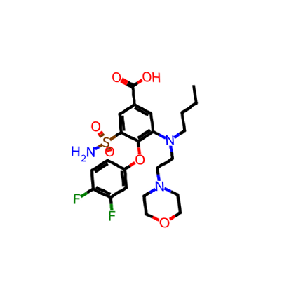 CCCCN(CCN1CCOCC1)c1cc(C(=O)O)cc(S(N)(=O)=O)c1Oc1ccc(F)c(F)c1